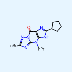 CCCCc1nc2n(CCC)c3[nH]c(C4CCCC4)nc3c(=O)n2n1